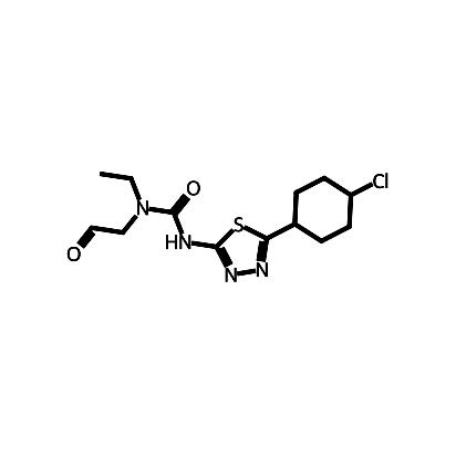 CCN(CC=O)C(=O)Nc1nnc(C2CCC(Cl)CC2)s1